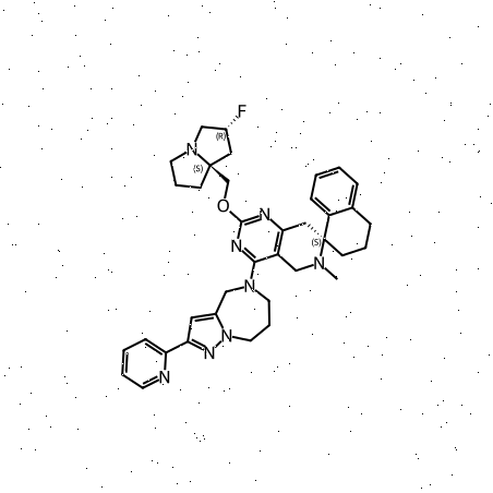 CN1Cc2c(nc(OC[C@@]34CCCN3C[C@H](F)C4)nc2N2CCCn3nc(-c4ccccn4)cc3C2)C[C@]12CCCc1ccccc12